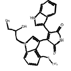 CSc1cccc2c1c(C1=C(c3c[nH]c4ccccc34)C(=O)NC1=O)cn2CC(O)CO